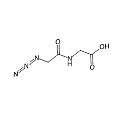 [N-]=[N+]=NCC(=O)NCC(=O)O